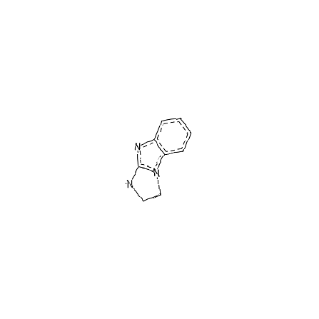 c1ccc2c(c1)nc1n2CC[N]1